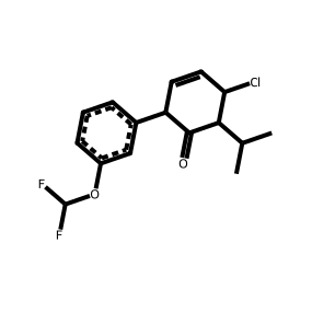 CC(C)C1C(=O)C(c2cccc(OC(F)F)c2)C=CC1Cl